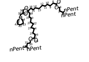 CCCCCC(CCCCC)CCOC(=O)CCCCCCCCCC1(CCCCCCCCCC(=O)OCCC(CCCCC)CCCCC)OCC(CN2CCCCC2)O1